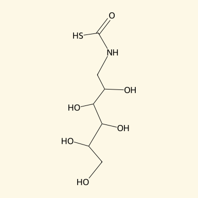 O=C(S)NCC(O)C(O)C(O)C(O)CO